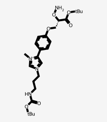 C[n+]1cn(CCCNC(=O)OC(C)(C)C)cc1-c1ccc(OC[C@H](ON)C(=O)OC(C)(C)C)cc1